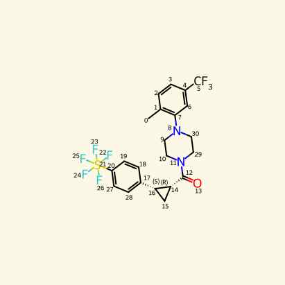 Cc1ccc(C(F)(F)F)cc1N1CCN(C(=O)[C@@H]2C[C@@H]2c2ccc(S(F)(F)(F)(F)F)cc2)CC1